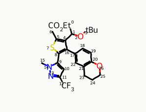 CCOC(=O)C(OC(C)(C)C)c1c(C)sc(-c2cc(C(F)(F)F)nn2C)c1-c1ccc2c(c1)CCCO2